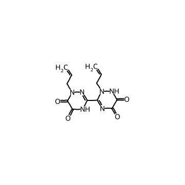 C=CCn1[nH]c(=O)c(=O)nc1-c1nn(CC=C)c(=O)c(=O)[nH]1